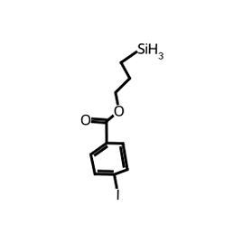 O=C(OCCC[SiH3])c1ccc(I)cc1